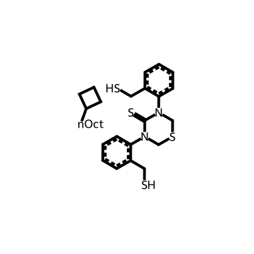 CCCCCCCCC1CCC1.S=C1N(c2ccccc2CS)CSCN1c1ccccc1CS